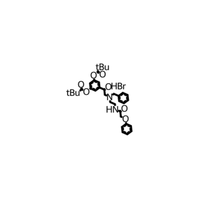 Br.CC(C)(C)C(=O)Oc1cc(OC(=O)C(C)(C)C)cc(C(=O)CN(CCNC(=O)COc2ccccc2)Cc2ccccc2)c1